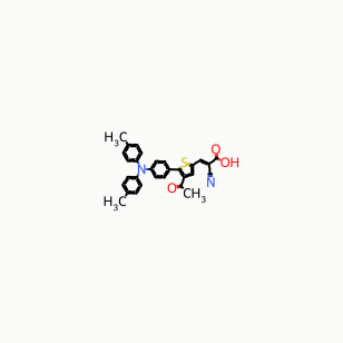 CC(=O)c1cc(/C=C(\C#N)C(=O)O)sc1-c1ccc(N(c2ccc(C)cc2)c2ccc(C)cc2)cc1